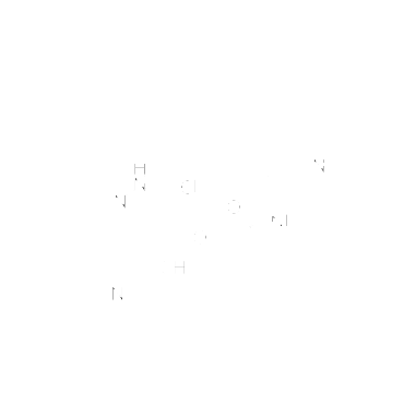 CC(Oc1ccccc1C(=O)Nc1cnc2ccccc2c1)c1c(-c2cccnc2)n[nH]c1Cl